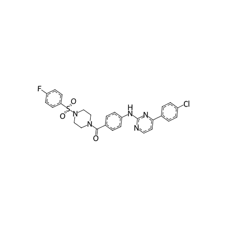 O=C(c1ccc(Nc2nccc(-c3ccc(Cl)cc3)n2)cc1)N1CCN(S(=O)(=O)c2ccc(F)cc2)CC1